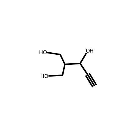 C#CC(O)C(CO)CO